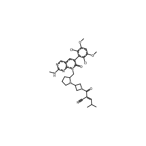 CNc1ncc2cc(-c3c(Cl)c(OC)cc(OC)c3Cl)c(=O)n(CC3CCCN3C3CN(C(=O)C(C#N)=CC(C)C)C3)c2n1